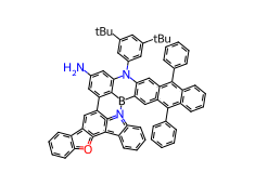 CC(C)(C)c1cc(N2c3cc4c(-c5ccccc5)c5ccccc5c(-c5ccccc5)c4cc3B3c4c(cc(N)cc42)-c2cc4c5ccccc5oc4c4c5ccccc5n3c24)cc(C(C)(C)C)c1